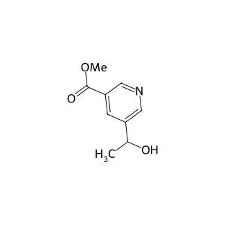 COC(=O)c1cncc(C(C)O)c1